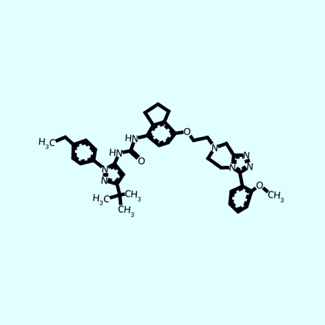 CCc1ccc(-n2nc(C(C)(C)C)cc2NC(=O)Nc2ccc(OCCN3CCn4c(nnc4-c4ccccc4OC)C3)c3c2CCC3)cc1